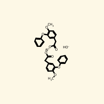 COc1ccc(CC(=O)[O][Al+][O]C(=O)Cc2ccc(OC)c(Oc3ccccc3)c2)cc1Oc1ccccc1.[OH-]